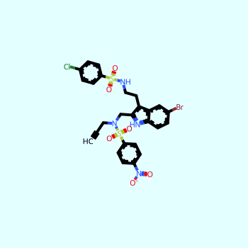 C#CCN(Cc1[nH]c2ccc(Br)cc2c1CCNS(=O)(=O)c1ccc(Cl)cc1)S(=O)(=O)c1ccc([N+](=O)[O-])cc1